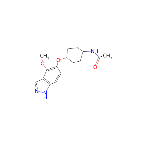 COc1c(OC2CCC(NC(C)=O)CC2)ccc2[nH]ncc12